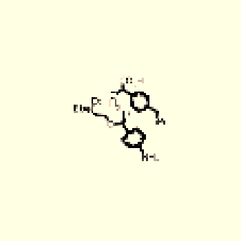 CC(C)Cc1ccc(C(C)C(=O)O)cc1.CCN(CC)CCOC(=O)c1ccc(N)cc1